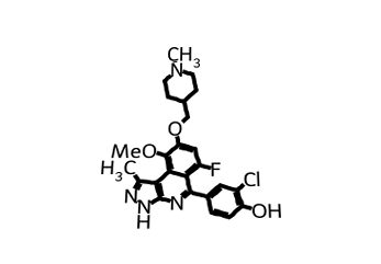 COc1c(OCC2CCN(C)CC2)cc(F)c2c(-c3ccc(O)c(Cl)c3)nc3[nH]nc(C)c3c12